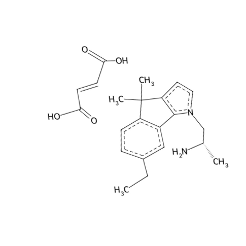 CCc1ccc2c(c1)-c1c(ccn1C[C@H](C)N)C2(C)C.O=C(O)/C=C/C(=O)O